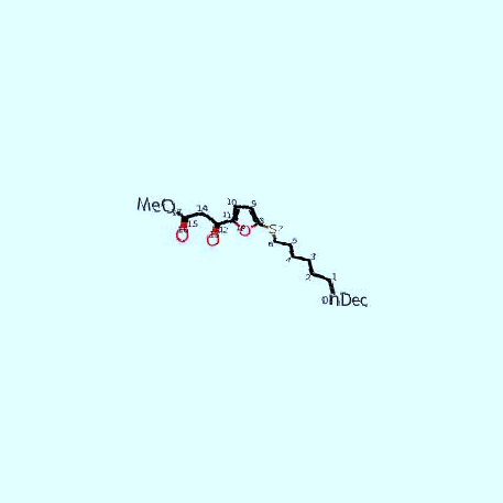 CCCCCCCCCCCCCCCCSc1ccc(C(=O)CC(=O)OC)o1